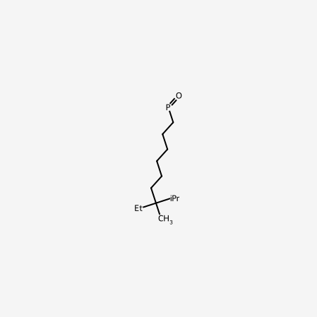 CCC(C)(CCCCCCP=O)C(C)C